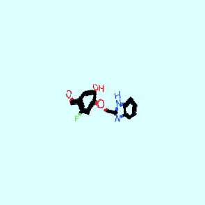 O=Cc1cc(O)c(OCc2nc3ccccc3[nH]2)cc1F